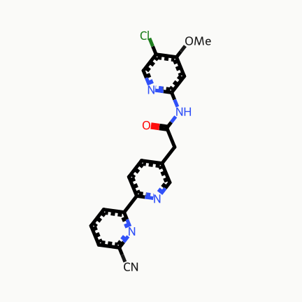 COc1cc(NC(=O)Cc2ccc(-c3cccc(C#N)n3)nc2)ncc1Cl